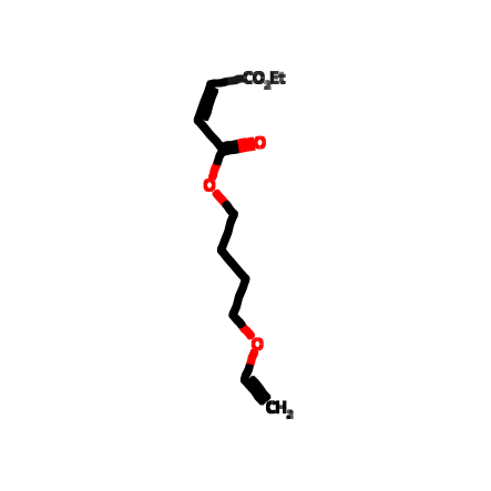 C=COCCCCOC(=O)/C=C\C(=O)OCC